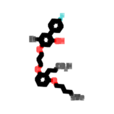 CCc1cc(-c2ccc(F)cc2)c(O)cc1OCCCOc1cccc(OCCCCSC)c1CCC(=O)O